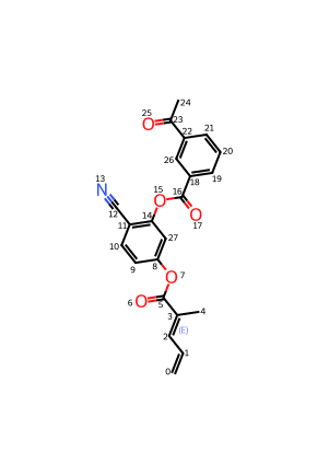 C=C/C=C(\C)C(=O)Oc1ccc(C#N)c(OC(=O)c2cccc(C(C)=O)c2)c1